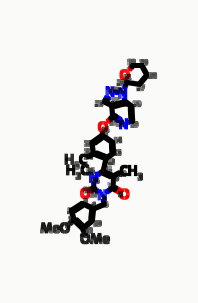 COc1ccc(Cn2c(=O)c(C)c(-c3ccc(Oc4nccc5c4cnn5C4CCCCO4)cc3C)n(C)c2=O)cc1OC